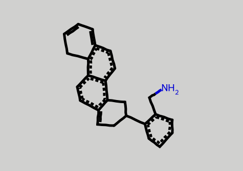 NCc1ccccc1C1CC=c2ccc3c4c(ccc3c2C1)=CC=CC4